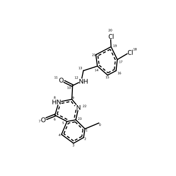 Cc1cccc2c(=O)[nH]c(C(=O)NCc3ccc(Cl)c(Cl)c3)nc12